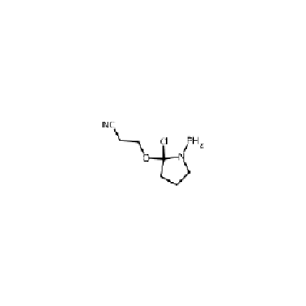 N#CCCOC1(Cl)CCCN1P